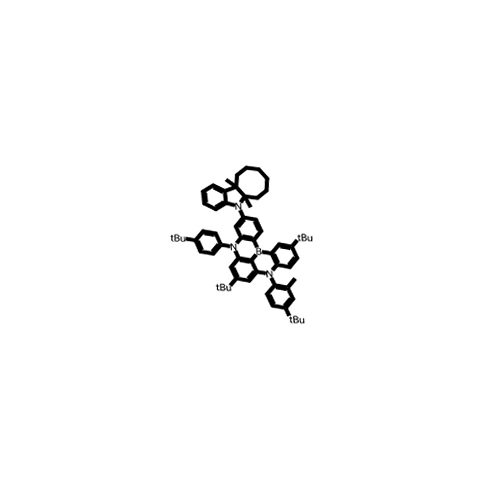 Cc1cc(C(C)(C)C)ccc1N1c2ccc(C(C)(C)C)cc2B2c3ccc(N4c5ccccc5C5(C)CCCCCCC45C)cc3N(c3ccc(C(C)(C)C)cc3)c3cc(C(C)(C)C)cc1c32